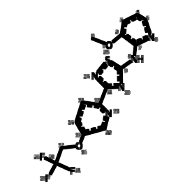 COc1cccnc1Nc1nc(-c2ccc(OCC(F)(F)F)cn2)ns1